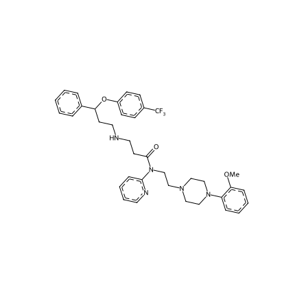 COc1ccccc1N1CCN(CCN(C(=O)CCNCCC(Oc2ccc(C(F)(F)F)cc2)c2ccccc2)c2ccccn2)CC1